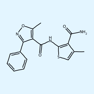 Cc1csc(NC(=O)c2c(-c3ccccc3)noc2C)c1C(N)=O